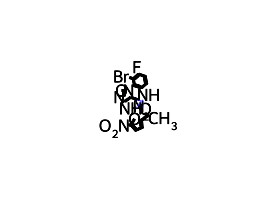 CC(O/N=C(\Nc1ccc(F)c(Br)c1)c1nonc1N)c1ccc([N+](=O)[O-])o1